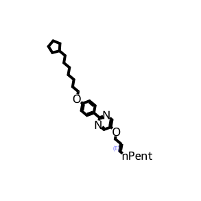 CCCCC/C=C/COc1cnc(-c2ccc(OCCCCCCCC3CCCC3)cc2)nc1